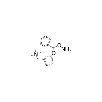 C[N+](C)(C)Cc1ccccc1.NOC(=O)c1ccccc1